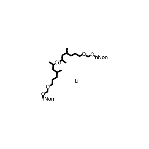 CCCCCCCCCOCOCCCC(C)C[CH](C)[Cu][CH](C)CC(C)CCCOCOCCCCCCCCC.[Li]